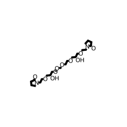 O=C1CCCN1CCOCC(O)COCCOCOOCC(O)COCCN1CCCC1=O